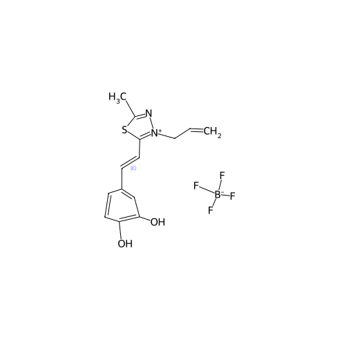 C=CC[n+]1nc(C)sc1/C=C/c1ccc(O)c(O)c1.F[B-](F)(F)F